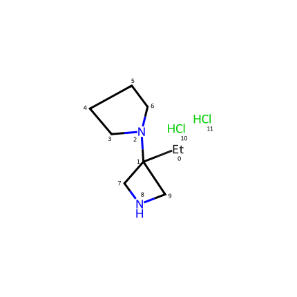 CCC1(N2CCCC2)CNC1.Cl.Cl